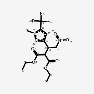 CCOC(=O)C(C(=O)OCC)[C@H](C[N+](=O)[O-])c1cc(C(F)(F)F)n(C)n1